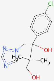 CC(C)(CO)C(O)(Cn1cncn1)c1ccc(Cl)cc1